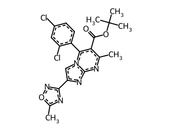 Cc1nc(-c2cn3c(-c4ccc(Cl)cc4Cl)c(C(=O)OC(C)(C)C)c(C)nc3n2)no1